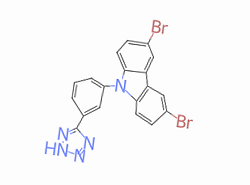 Brc1ccc2c(c1)c1cc(Br)ccc1n2-c1cccc(-c2nn[nH]n2)c1